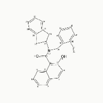 O=C(c1c(O)ccc2ccccc12)N(Cc1ccccc1F)C1Cc2ccccc2C1